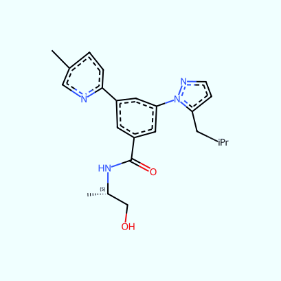 Cc1ccc(-c2cc(C(=O)N[C@@H](C)CO)cc(-n3nccc3CC(C)C)c2)nc1